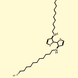 CCCCCCCCCCCC[SiH]=C1C=CSC1C1SC=CC1=[SiH]CCCCCCCCCCCC